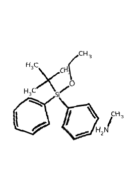 CCO[Si](c1ccccc1)(c1ccccc1)C(C)(C)C.CN